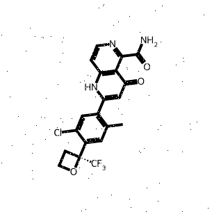 Cc1cc([C@]2(C(F)(F)F)CCO2)c(Cl)cc1-c1cc(=O)c2c(C(N)=O)nccc2[nH]1